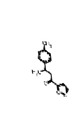 Cc1ccc(C(C)CC(=O)c2ccno2)cc1